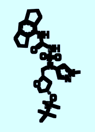 Cn1cc(N(C[C@H]2C[C@H](O[Si](C)(C)C(C)(C)C)CO2)S(=O)(=O)NC(=O)Nc2c3c(cc4c2CCC4)CCC3)cn1